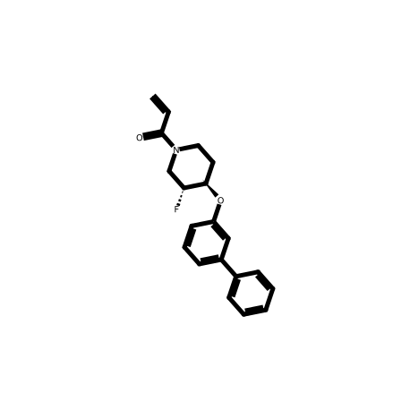 C=CC(=O)N1CC[C@@H](Oc2cccc(-c3ccccc3)c2)[C@H](F)C1